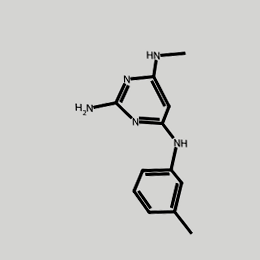 CNc1cc(Nc2cccc(C)c2)nc(N)n1